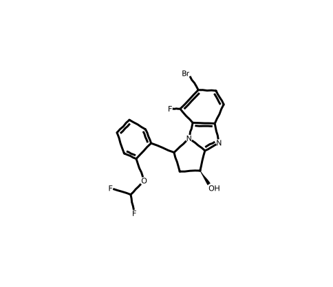 O[C@H]1CC(c2ccccc2OC(F)F)n2c1nc1ccc(Br)c(F)c12